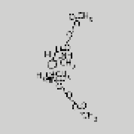 C=CC(=O)OCCOCCOC(=O)NC(C)(C)c1cccc(C(C)(C)NC(=O)OCCOCCOC(C)=O)c1